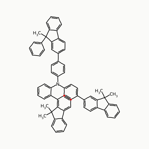 CC1(C)c2ccccc2-c2ccc(-c3ccc(N(c4ccc(-c5ccc6c(c5)C(C)(c5ccccc5)c5ccccc5-6)cc4)c4ccccc4-c4cccc5c4C(C)(C)c4ccccc4-5)cc3)cc21